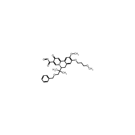 COCCCOc1cc2c(cc1OC)-c1cc(=O)c(C(=O)N=O)cn1C(C(C)(C)COCc1ccccc1)C2